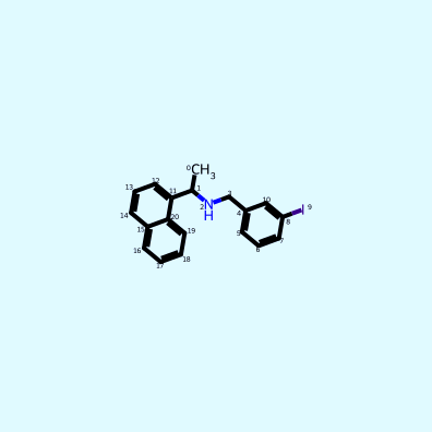 CC(NCc1cccc(I)c1)c1cccc2ccccc12